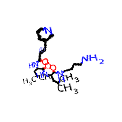 CC(C)CC(NC(=O)/C=C/c1cccnc1)C(=O)NC(CC(C)C)C(=O)NCCCCN